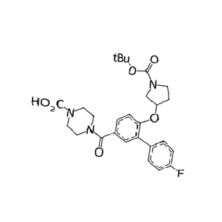 CC(C)(C)OC(=O)N1CCC(Oc2ccc(C(=O)N3CCN(C(=O)O)CC3)cc2-c2ccc(F)cc2)C1